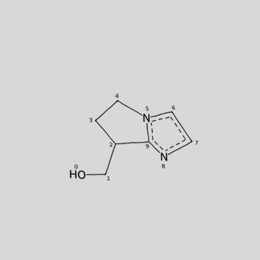 OCC1CCn2ccnc21